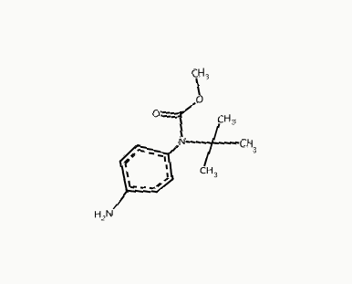 COC(=O)N(c1ccc(N)cc1)C(C)(C)C